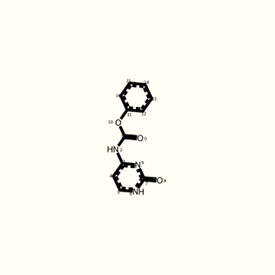 O=C(Nc1cc[nH]c(=O)n1)Oc1ccccc1